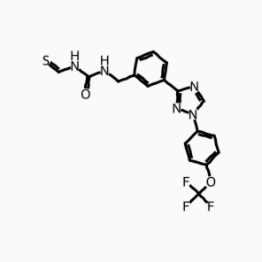 O=C(NC=S)NCc1cccc(-c2ncn(-c3ccc(OC(F)(F)F)cc3)n2)c1